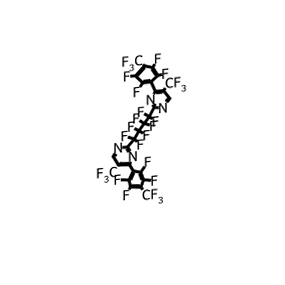 Fc1c(F)c(C(F)(F)F)c(F)c(F)c1-c1nc(C(F)(F)C(F)(F)C(F)(F)C(F)(F)c2ncc(C(F)(F)F)c(-c3c(F)c(F)c(C(F)(F)F)c(F)c3F)n2)ncc1C(F)(F)F